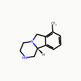 FC(F)(F)c1cccc2c1CN1CCNC[C@@H]21